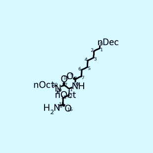 CCCCCCCCCCCCCCCCCC(=O)N[C@@H](CCC(N)=O)C(=O)N(CCCCCCCC)CCCCCCCC